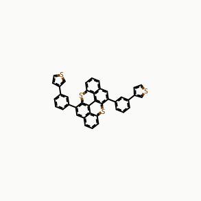 c1cc(-c2ccsc2)cc(-c2cc3cccc4sc5c(-c6cccc(-c7ccsc7)c6)cc6cccc7sc2c(c34)-c5c67)c1